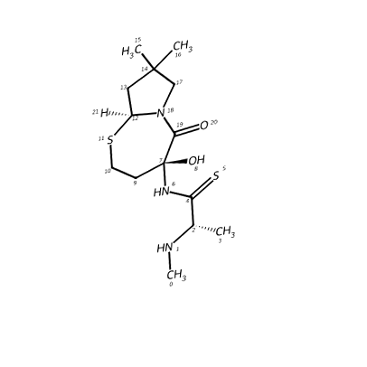 CN[C@@H](C)C(=S)N[C@]1(O)CCS[C@H]2CC(C)(C)CN2C1=O